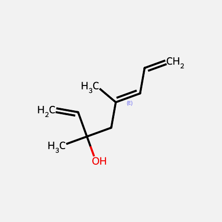 C=C/C=C(\C)CC(C)(O)C=C